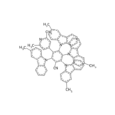 Cc1ccc2c(c1)c1ccccc1n2-c1c(C#N)c(-n2c3ccccc3c3cc(C)ccc32)c(-n2c3ccccc3c3cc(C)ccc32)c(-n2c3ccccc3c3cc(C)ccc32)c1-c1cc(C)nc(C)c1